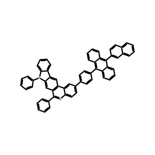 c1ccc(-c2nc3ccc(-c4ccc(-c5c6ccccc6c(-c6ccc7ccccc7c6)c6ccccc56)cc4)cc3c3cc4c5ccccc5n(-c5ccccc5)c4cc23)cc1